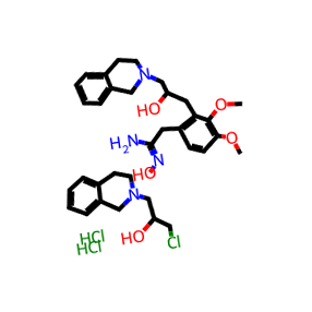 COc1ccc(CC(N)=NO)c(CC(O)CN2CCc3ccccc3C2)c1OC.Cl.Cl.OC(CCl)CN1CCc2ccccc2C1